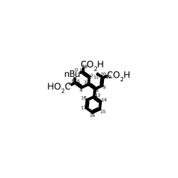 CCCCC(=CC(C=C(C)C(=O)O)=C(C=C(C)C(=O)O)c1ccccc1)C(=O)O